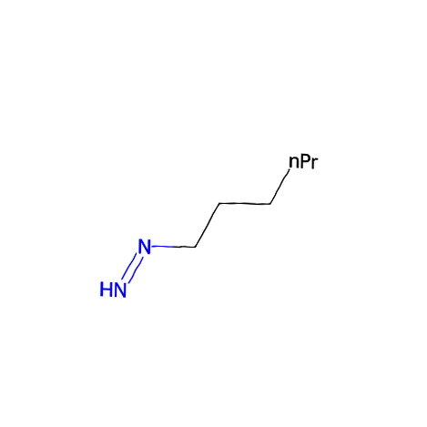 CCCCCCN=N